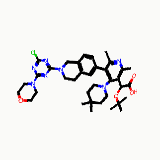 Cc1nc(C)c(C(OC(C)(C)C)C(=O)O)c(N2CCC(C)(C)CC2)c1-c1ccc2c(c1)CCN(c1nc(Cl)nc(N3CCOCC3)n1)C2